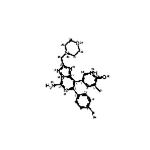 Cc1cc(-c2c(-c3ccc(F)cc3)nc(N)n3nc(CN4CCOCC4)nc23)c[nH]c1=O